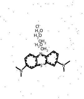 CN(C)c1ccc2nc3ccc(N(C)C)cc3[s+]c2c1.O.O.O.O.O.[Cl-]